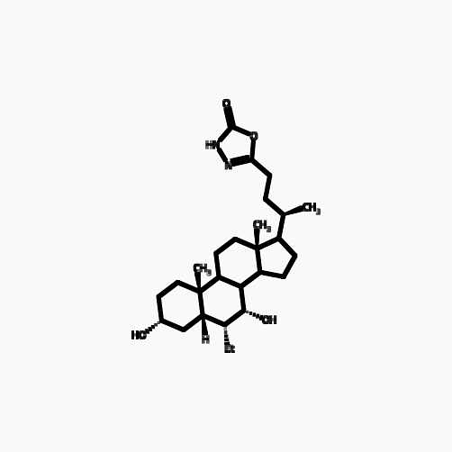 CC[C@H]1[C@@H](O)C2C3CCC([C@H](C)CCc4n[nH]c(=O)o4)[C@@]3(C)CCC2[C@@]2(C)CC[C@@H](O)C[C@@H]12